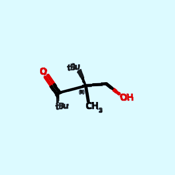 CC(C)(C)C(=O)[C@@](C)(CO)C(C)(C)C